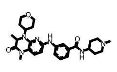 CC1C(=O)N(C)c2ccc(Nc3cccc(C(=O)NC4CCN(C)CC4)c3)nc2N1C1CCOCC1